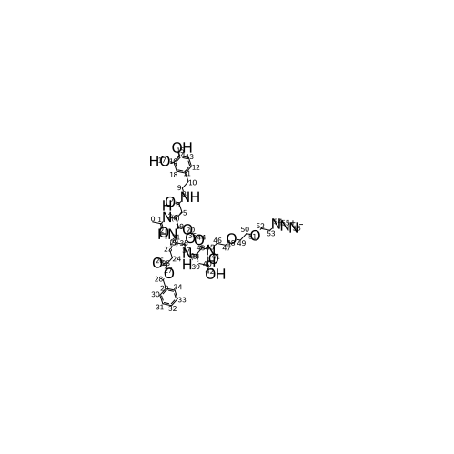 CC(=O)N[C@@H](CC(=O)NCCc1ccc(O)c(O)c1)C(=O)N[C@@H](CCC(=O)OCc1ccccc1)C(=O)N[C@@H](CC(=O)O)C(=O)NCCOCCOCCN=[N+]=[N-]